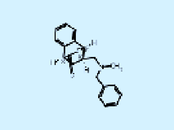 CN(Cc1ccccc1)C[C@H]1C[C@@H]2C(=O)C[C@H]1c1ccccc12